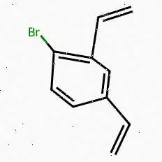 C=Cc1ccc(Br)c(C=C)c1